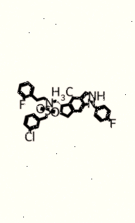 C[C@H]1C2=CNN(c3ccc(F)cc3)C2=CC2=C1[C@@H](CN(CCc1ccccc1F)S(=O)(=O)Cc1cccc(Cl)c1)CC2